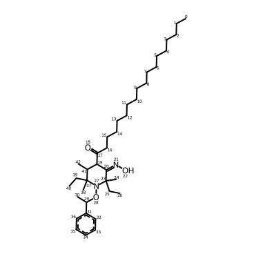 CCCCCCCCCCCCCCCCCC(=O)C1C(=NO)C(C)(CC)N(OC(C)c2ccccc2)C(C)(CC)C1C